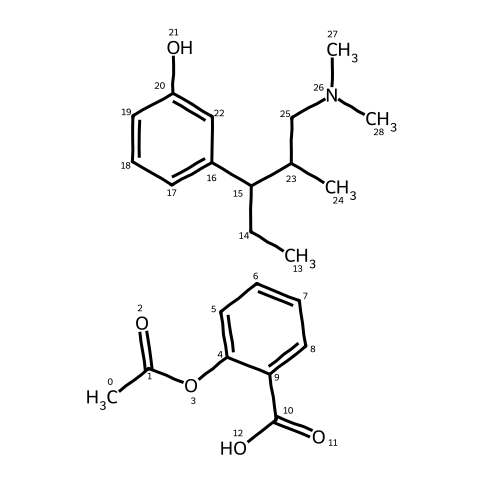 CC(=O)Oc1ccccc1C(=O)O.CCC(c1cccc(O)c1)C(C)CN(C)C